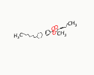 CCCC#CC(=O)C(C)OC(=O)c1ccc([C@H]2CC[C@H](CCCCCCC)CC2)cc1